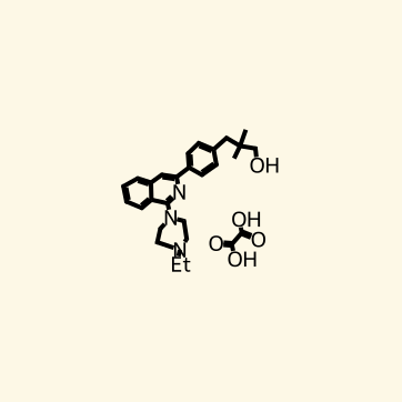 CCN1CCN(c2nc(-c3ccc(CC(C)(C)CO)cc3)cc3ccccc23)CC1.O=C(O)C(=O)O